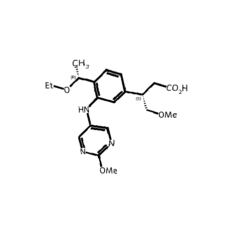 CCO[C@H](C)c1ccc([C@@H](COC)CC(=O)O)cc1Nc1cnc(OC)nc1